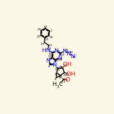 CC(=O)[C@]12CC1[C@@H](n1cnc3c(NCCc4ccccc4)nc(N=[N+]=[N-])nc31)[C@H](O)C2O